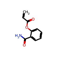 C=CC(=O)Oc1ccccc1C(N)=O